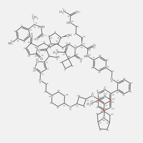 CC(C)C(C(=O)N1C[C@H](O)C[C@H]1C(=O)N[C@@H](C)c1ccc(C#N)cc1)c1cc(OCCN2CCC(OC3CC(Oc4cc(N5C6CCC5CN(c5cc(-c7ccccc7OCc7ccc(NC(=O)[C@H](CCCNC(N)=O)N(CCCCCN8C(=O)C=CC8=O)C(=O)C8(C(N)=O)CCC8)cc7)nnc5N)C6)ccn4)C3)CC2)no1